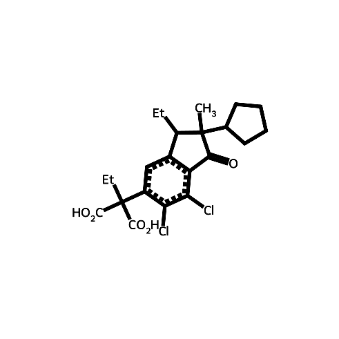 CCC1c2cc(C(CC)(C(=O)O)C(=O)O)c(Cl)c(Cl)c2C(=O)C1(C)C1CCCC1